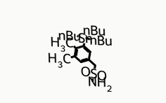 CCC[CH2][Sn]([CH2]CCC)([CH2]CCC)[c]1cc(CS(N)(=O)=O)cc(C)c1C